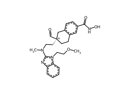 COCCn1c(N(C)CC[C@@]2(C=O)CCc3cc(C(=O)NO)ccc3C2)nc2ccccc21